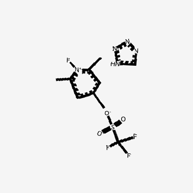 Cc1cc(C)[n+](F)c(C)c1.O=S(=O)([O-])C(F)(F)F.c1nnn[nH]1